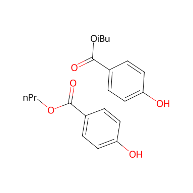 CC(C)COC(=O)c1ccc(O)cc1.CCCOC(=O)c1ccc(O)cc1